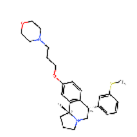 FC(F)(F)Sc1cccc([C@@H]2CN3CCC[C@@H]3c3cc(OCCCN4CCOCC4)ccc32)c1